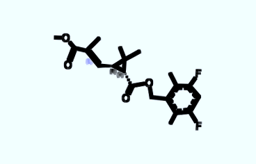 COC(=O)/C(C)=C/[C@@H]1[C@@H](C(=O)OCc2c(C)c(F)cc(F)c2C)C1(C)C